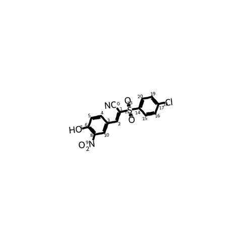 N#C/C(=C\c1ccc(O)c([N+](=O)[O-])c1)S(=O)(=O)c1ccc(Cl)cc1